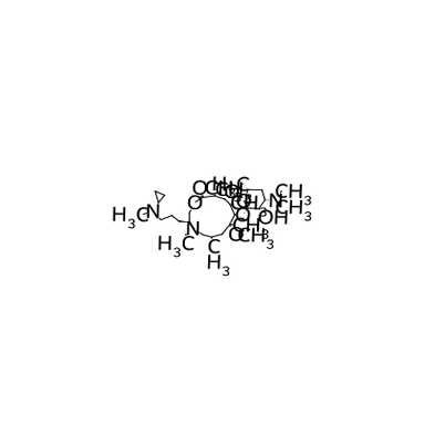 CCN1C[C@H](C)C[C@@](C)(OC)[C@H](O[C@@H]2O[C@H](C)C[C@H](N(C)C)[C@H]2O)[C@@H](C)C(=O)C(C)(C)C(=O)OC[C@@H]1CCCN(C)C1CC1